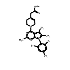 CNC(=O)CC1=CCN(c2nc(C)nc3c2c(C)c(C)n3-c2c(Br)cc(C(F)(F)F)cc2Br)CC1